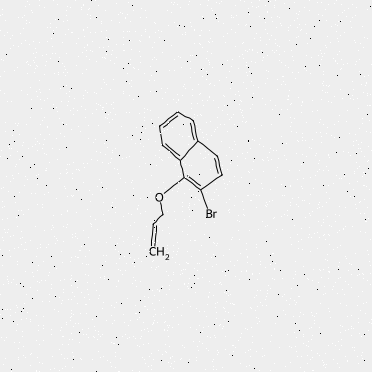 C=CCOc1c(Br)ccc2ccccc12